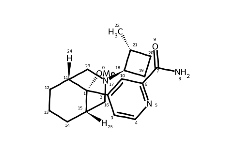 CO[C@@]1(c2ccnc(C(N)=O)c2)[C@@H]2CCC[C@H]1CN([C@@H]1CC[C@H]1C)C2